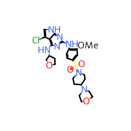 COc1cc(S(=O)(=O)N2CCC(N3CCOCC3)CC2)ccc1Nc1nc(N[C@@H]2CCOC2)c2c(Cl)c[nH]c2n1